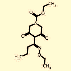 CCCC(=NOCC)C1C(=O)CN(C(=O)OCC)CC1=O